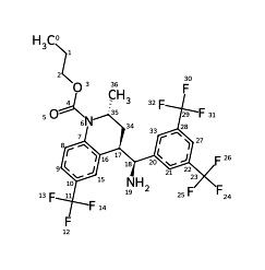 CCCOC(=O)N1c2ccc(C(F)(F)F)cc2[C@H]([C@H](N)c2cc(C(F)(F)F)cc(C(F)(F)F)c2)C[C@H]1C